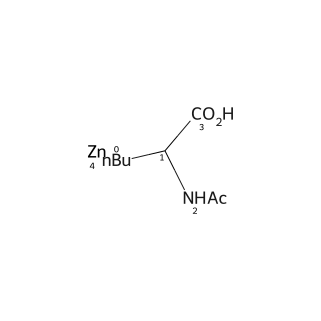 CCCCC(NC(C)=O)C(=O)O.[Zn]